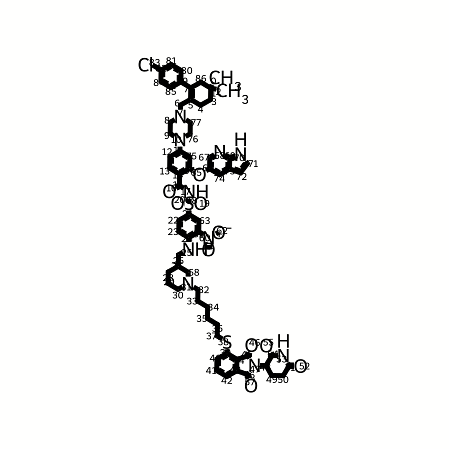 CC1(C)CCC(CN2CCN(c3ccc(C(=O)NS(=O)(=O)c4ccc(NCC5CCCN(CCCCCCSc6cccc7c6C(=O)N(C6CCC(=O)NC6=O)C7=O)C5)c([N+](=O)[O-])c4)c(Oc4cnc5[nH]ccc5c4)c3)CC2)=C(c2ccc(Cl)cc2)C1